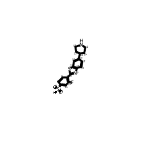 CS(=O)(=O)c1ccc(-c2nc3ccc(C4CCNCC4)cc3s2)c(F)c1